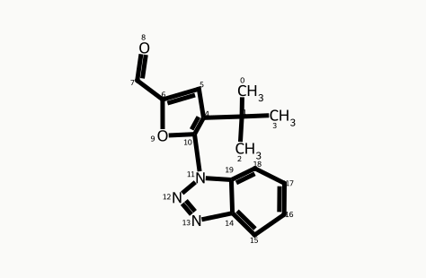 CC(C)(C)c1cc(C=O)oc1-n1nnc2ccccc21